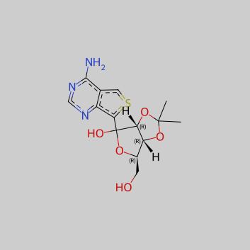 CC1(C)O[C@H]2[C@@H](O1)C(O)(c1scc3c(N)ncnc13)O[C@@H]2CO